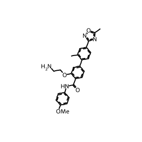 COc1ccc(NC(=O)c2ccc(-c3ccc(-c4noc(C)n4)cc3C)cc2OCCN)cc1